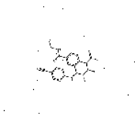 CCNC(=O)c1ccc2c(c1)[C@H](Nc1ccc(C#N)cn1)[C@@H](C)[C@H](C)N2C(C)=O